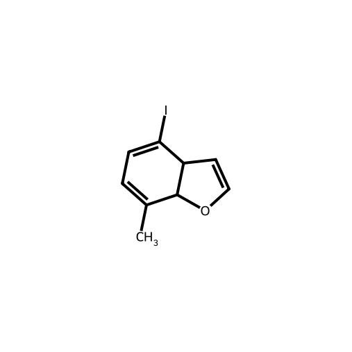 CC1=CC=C(I)C2C=COC12